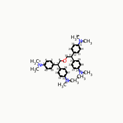 CN(C)c1ccc(C(COCC(c2ccc(N(C)C)cc2)c2ccc(N(C)C)cc2)c2ccc(N(C)C)cc2)cc1